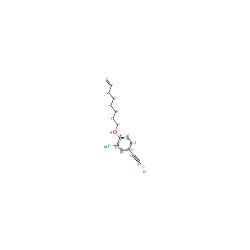 C=CCCCCCCOc1ccc(C#CF)cc1F